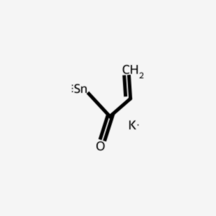 C=C[C](=O)[Sn].[K]